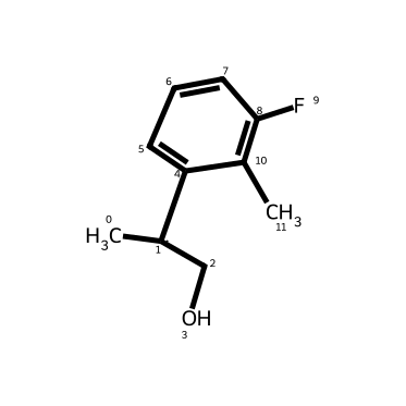 C[C](CO)c1cccc(F)c1C